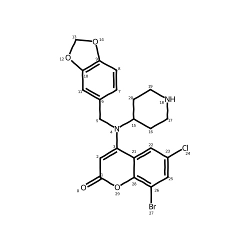 O=c1cc(N(Cc2ccc3c(c2)OCO3)C2CCNCC2)c2cc(Cl)cc(Br)c2o1